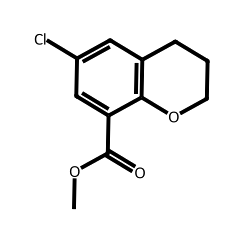 COC(=O)c1cc(Cl)cc2c1OCCC2